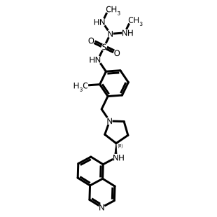 CNN(NC)S(=O)(=O)Nc1cccc(CN2CC[C@@H](Nc3cccc4cnccc34)C2)c1C